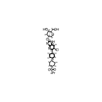 CC(C)S(=O)(=O)N1CCN(c2ccc(-c3nc4nc(O[C@H]5CO[C@H](CO)[C@@H](O)C5)[nH]c4cc3Cl)cc2)CC1